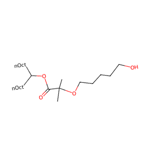 CCCCCCCCC(CCCCCCCC)OC(=O)C(C)(C)OCCCCCO